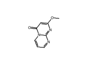 COc1cc(=O)n2cccnc2n1